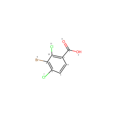 O=C(O)c1ccc(Cl)c(Br)c1Cl